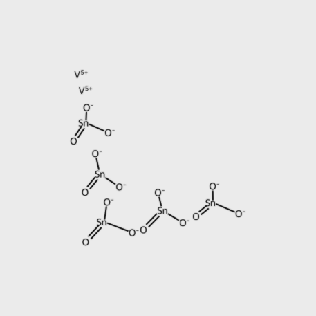 [O]=[Sn]([O-])[O-].[O]=[Sn]([O-])[O-].[O]=[Sn]([O-])[O-].[O]=[Sn]([O-])[O-].[O]=[Sn]([O-])[O-].[V+5].[V+5]